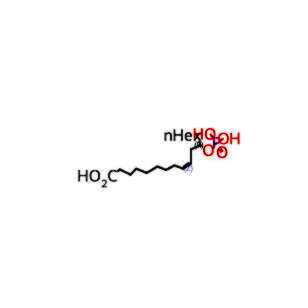 CCCCCC[C@H](C/C=C\CCCCCCCC(=O)O)OP(=O)(O)O